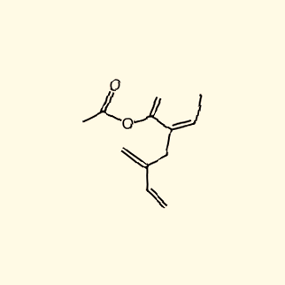 C=CC(=C)CC(=CC)C(=C)OC(C)=O